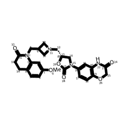 COc1ccc2c(c1)N(CC1CN(C[C@@H]3CN(c4ccc5c(c4)NC(=O)CO5)C(=O)O3)C1)C(=O)CC2